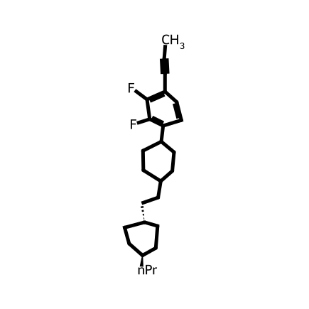 CC#Cc1ccc(C2CCC(CC[C@H]3CC[C@H](CCC)CC3)CC2)c(F)c1F